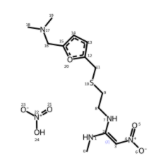 CN/C(=C/[N+](=O)[O-])NCCSCc1ccc(CN(C)C)o1.O=[N+]([O-])O